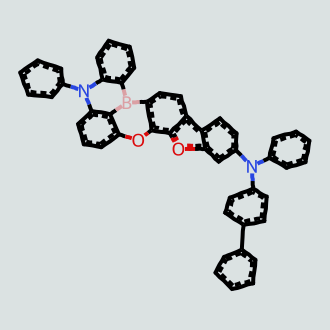 c1ccc(-c2ccc(N(c3ccccc3)c3ccc4c(c3)oc3c5c(ccc34)B3c4ccccc4N(c4ccccc4)c4cccc(c43)O5)cc2)cc1